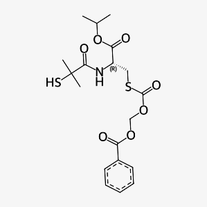 CC(C)OC(=O)[C@H](CSC(=O)OCOC(=O)c1ccccc1)NC(=O)C(C)(C)S